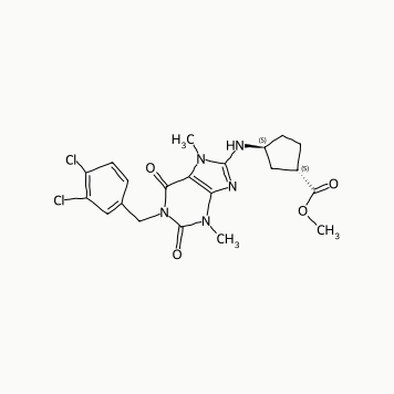 COC(=O)[C@H]1CC[C@H](Nc2nc3c(c(=O)n(Cc4ccc(Cl)c(Cl)c4)c(=O)n3C)n2C)C1